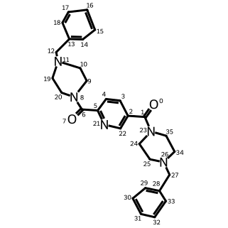 O=C(c1ccc(C(=O)N2CCN(Cc3ccccc3)CC2)nc1)N1CCN(Cc2ccccc2)CC1